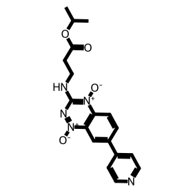 CC(C)OC(=O)CCNc1n[n+]([O-])c2cc(-c3ccncc3)ccc2[n+]1[O-]